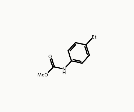 [CH2]OC(=O)Nc1ccc(CC)cc1